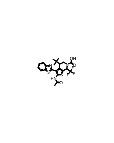 CC(=O)Nc1sc2c(c1-c1nc3ccccc3s1)C(C(C)(C)C)CN(C(=O)O)C2C(F)(F)F